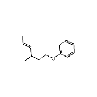 CC=CC(C)CCOc1ccccc1